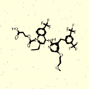 CC[C@@H]1C[C@H](Nc2ncc(OCCOC)cc2Cc2cc(C(F)(F)F)cc(C(F)(F)F)c2)c2cc(C(F)(F)F)ccc2N1C(=O)OCCC(=O)O